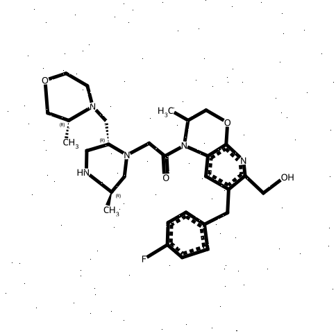 CC1COc2nc(CO)c(Cc3ccc(F)cc3)cc2N1C(=O)CN1C[C@@H](C)NC[C@@H]1CN1CCOC[C@H]1C